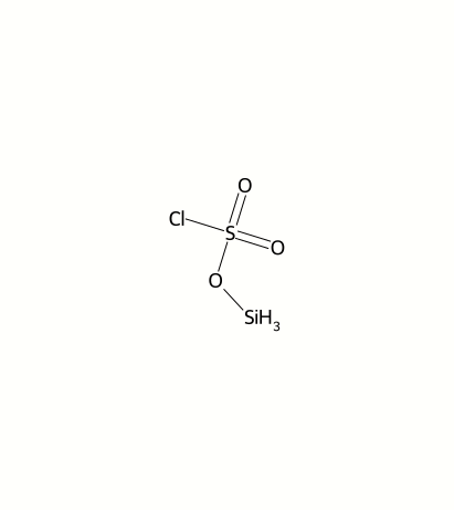 O=S(=O)(Cl)O[SiH3]